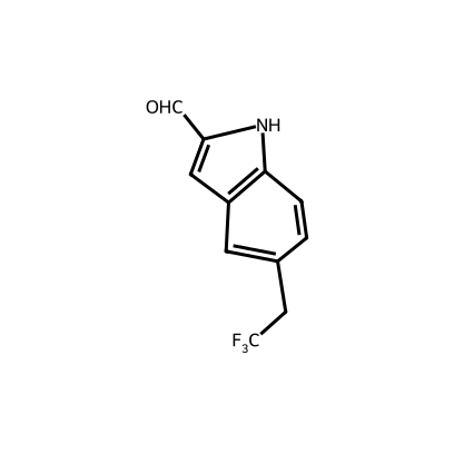 O=Cc1cc2cc(CC(F)(F)F)ccc2[nH]1